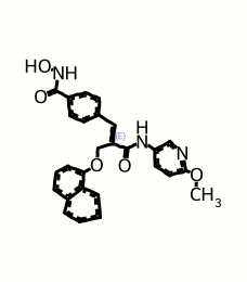 COc1ccc(NC(=O)/C(=C/c2ccc(C(=O)NO)cc2)COc2cccc3ccccc23)cn1